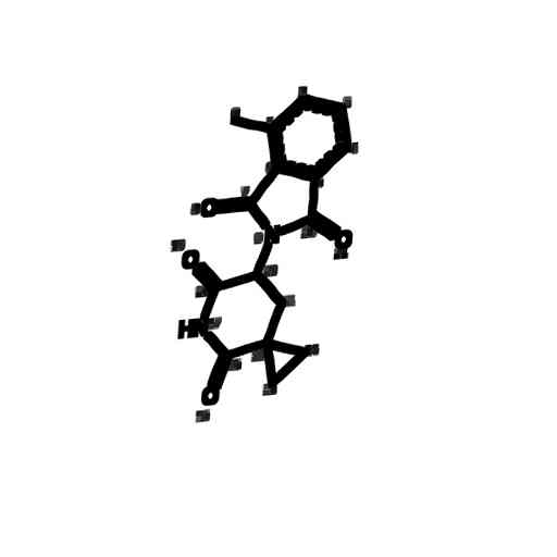 Cc1cccc2c1C(=O)N(C1CC3(CC3)C(=O)NC1=O)C2=O